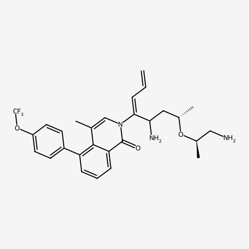 C=C/C=C(\C(N)C[C@H](C)O[C@H](C)CN)n1cc(C)c2c(-c3ccc(OC(F)(F)F)cc3)cccc2c1=O